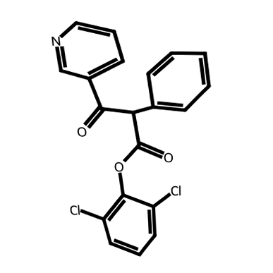 O=C(Oc1c(Cl)cccc1Cl)C(C(=O)c1cccnc1)c1ccccc1